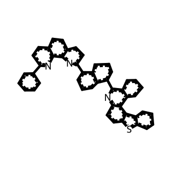 c1ccc(-c2ccc3ccc4ccc(-c5cccc6c(-c7nc8ccc9sc%10ccccc%10c9c8c8ccccc78)cccc56)nc4c3n2)cc1